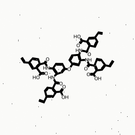 C=Cc1ccc(C(=O)Nc2ccc(Oc3ccc(NC(=O)c4ccc(C=C)cc4C(=O)O)c(NC(=O)c4ccc(C=C)cc4C(=O)O)c3)cc2NC(=O)c2ccc(C=C)cc2C(=O)O)c(C(=O)O)c1